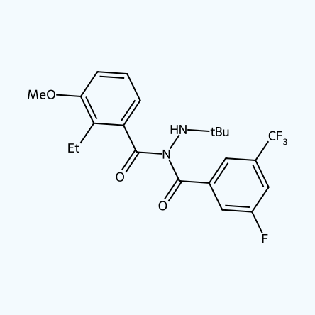 CCc1c(OC)cccc1C(=O)N(NC(C)(C)C)C(=O)c1cc(F)cc(C(F)(F)F)c1